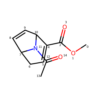 COC(=O)C1=CCC2C=CC1N2C(C)=O